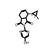 C[C@@H]1C[C@@H]1C1C=CCC2C(=O)N(c3ncc(O)cn3)C(=O)C21